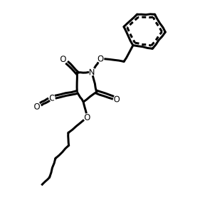 CCCCCOC1C(=O)N(OCc2ccccc2)C(=O)C1=C=O